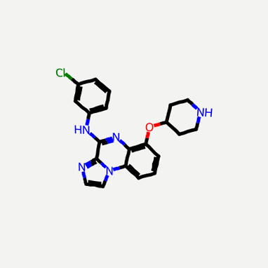 Clc1cccc(Nc2nc3c(OC4CCNCC4)cccc3n3ccnc23)c1